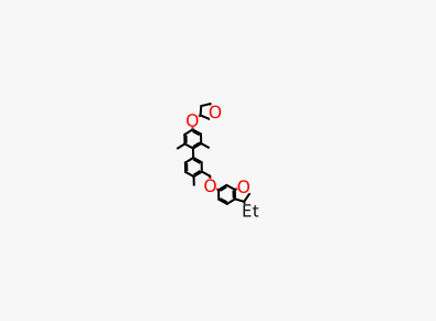 CCC1COc2cc(OCc3cc(-c4c(C)cc(OC5CCOC5)cc4C)ccc3C)ccc21